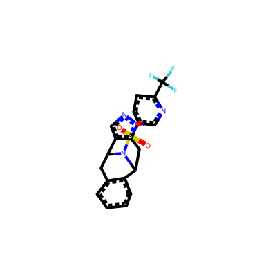 O=S(=O)(c1ccc(C(F)(F)F)nc1)N1C2Cc3[nH]ncc3C1Cc1ccccc12